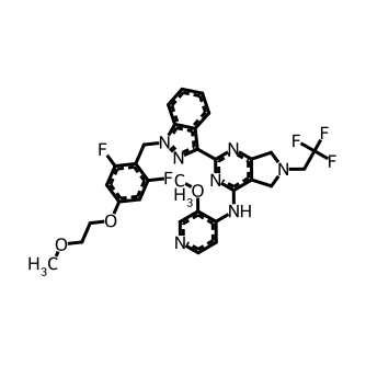 COCCOc1cc(F)c(Cn2nc(-c3nc4c(c(Nc5ccncc5OC)n3)CN(CC(F)(F)F)C4)c3ccccc32)c(F)c1